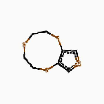 c1scc2c1SCCSCCS2